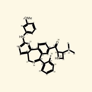 COc1cccc(Nc2ncc3c(n2)-c2ccc(C(=O)C4NCC4N(C)C)cc2C(c2ccccc2F)=NC3)c1